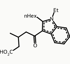 CCCCCCc1c(C(=O)CC(C)CC(=O)O)c2ccccc2n1CC